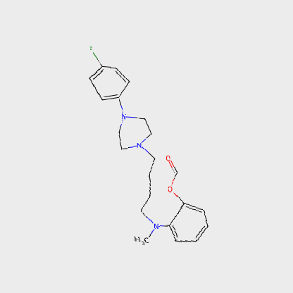 CN(CCCCN1CCN(c2ccc(F)cc2)CC1)c1ccccc1OC=O